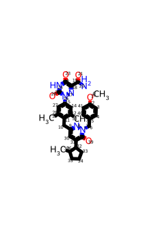 COc1ccc(Cn2nc(Cc3c(C)cc(-n4nc(C(N)=O)c(=O)[nH]c4=O)cc3C)cc(C3CCCC3C)c2=O)cc1